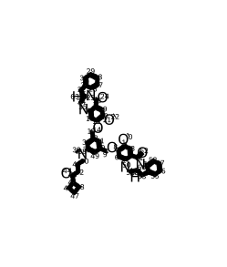 COc1cc2c(cc1OCc1cc(COc3cc4c(cc3OC)C(=O)N3c5ccccc5C[C@H]3C=N4)cc(N(C)CCCC(=O)C3CCC3)c1)N=C[C@@H]1Cc3ccccc3N1C2=O